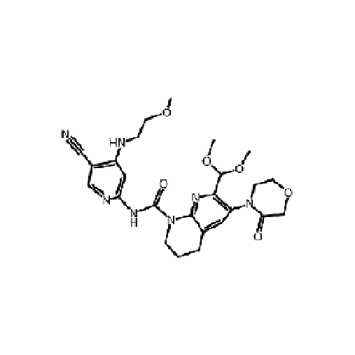 COCCNc1cc(NC(=O)N2CCCc3cc(N4CCOCC4=O)c(C(OC)OC)nc32)ncc1C#N